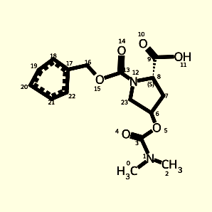 CN(C)C(=O)OC1C[C@@H](C(=O)O)N(C(=O)OCc2ccccc2)C1